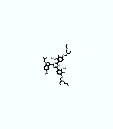 CCCCC(CC)COc1ccc(-c2nc(-c3ccc(OCC(CC)CCCC)c(C)c3O)nc(-c3cn(CC(C)C)c4ccc(OC)cc34)n2)c(O)c1C